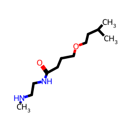 CNCCNC(=O)CCCOCCC(C)C